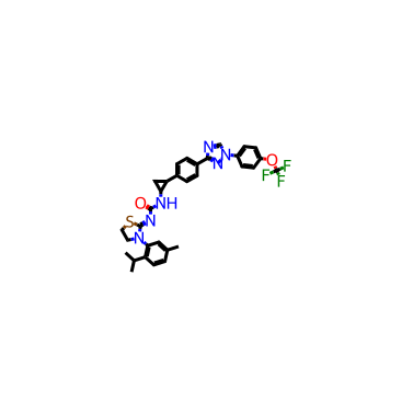 Cc1ccc(C(C)C)c(N2CCSC2=NC(=O)NC2CC2c2ccc(-c3ncn(-c4ccc(OC(F)(F)F)cc4)n3)cc2)c1